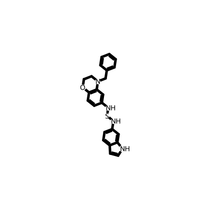 c1ccc(CN2CCOc3ccc(NSNc4ccc5cc[nH]c5c4)cc32)cc1